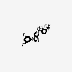 O=C(c1cccc(C(F)(F)F)c1Cl)N1C=Cc2c(ncn2-c2cc(F)cc(F)c2)C1